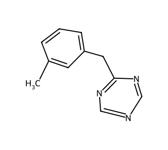 Cc1cccc(Cc2ncncn2)c1